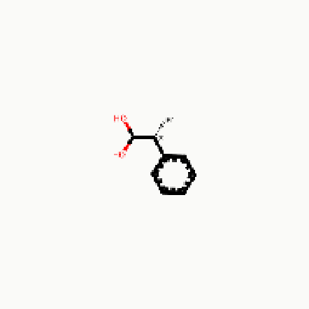 CC(C)[C@H](c1ccccc1)C(O)O